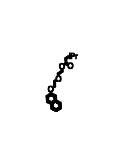 CC(C)CC(=O)OCCOCCOc1ccc2ccccc2c1